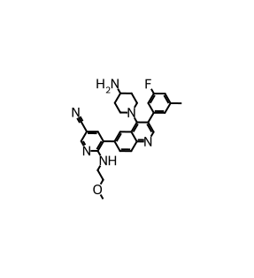 COCCNc1ncc(C#N)cc1-c1ccc2ncc(-c3cc(C)cc(F)c3)c(N3CCC(N)CC3)c2c1